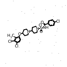 Cc1c(OC2CCN(C3CCN(S(=O)(=O)NC(=O)c4ccc(Cl)cc4)CC3)CC2)ccc(Cl)c1Cl